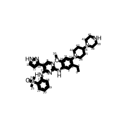 CCc1cc(Nc2ncc(-c3cc[nH]n3)c(Nc3ccccc3P(C)(C)=O)n2)c(OC)cc1N1CCC(N2CCNCC2)CC1